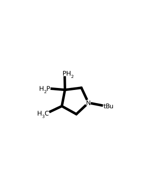 CC1CN(C(C)(C)C)CC1(P)P